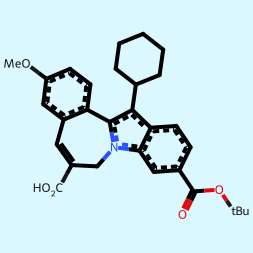 COc1ccc2c(c1)C=C(C(=O)O)Cn1c-2c(C2CCCCC2)c2ccc(C(=O)OC(C)(C)C)cc21